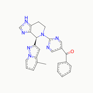 Cc1cccn2nc([C@H]3c4nc[nH]c4CCN3c3ncc(C(=O)c4ccccc4)cn3)cc12